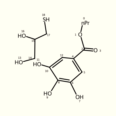 CCCOC(=O)c1cc(O)c(O)c(O)c1.OCC(O)CS